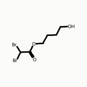 O=C(OCCCCO)C(Br)Br